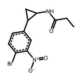 CCC(=O)NC1CC1c1ccc(Br)c([N+](=O)[O-])c1